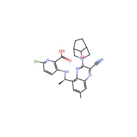 Cc1cc([C@@H](C)Nc2ccc(Cl)nc2C(=O)O)c2nc(N3CC4CCC(C3)C4O)c(C#N)nc2c1